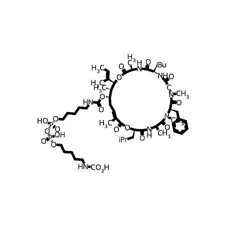 C/C=C(\C)[C@H]1OC(=O)[C@@H](C)NC(=O)[C@H]([C@H](C)CC)NC(=O)CN(C)C(=O)[C@@H](Cc2ccccc2)N(C)C(=O)C(C)NC(=O)[C@@H](CC(C)C)OC(=O)/C(C)=C/C[C@H](OC(=O)NCCCCCOP(=O)(O)OP(=O)(O)OCCCCCNC(=O)O)[C@@H]1C